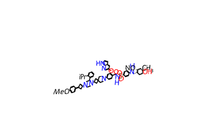 COc1ccc(C2CC(N3CCN(C4CC5(CCN(c6ccc(C(=O)NS(=O)(=O)c7ccc(NC[C@H]8CC[C@](C)(O)CC8)c([N+](=O)[O-])c7)c(Oc7cnc8[nH]ccc8c7)c6)CC5)C4)C(c4ccccc4C(C)C)C3)C2)cc1